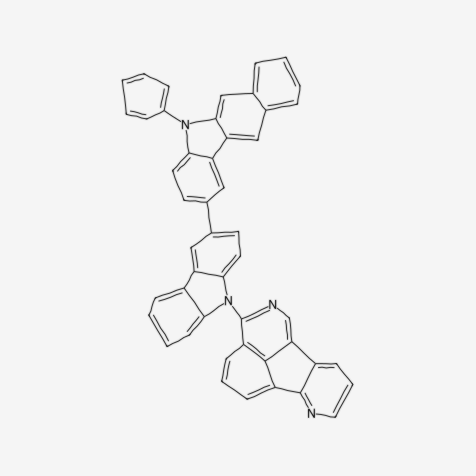 c1ccc(-n2c3ccc(-c4ccc5c(c4)c4ccccc4n5-c4ncc5c6c(cccc46)-c4ncccc4-5)cc3c3cc4ccccc4cc32)cc1